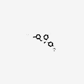 COC(=O)c1cccc(Cn2c(=O)n(-c3ccc(NS(C)(=O)=O)cc3)c3cc(Cl)ccc32)c1